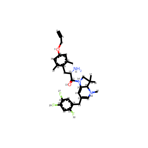 C#CCOc1cc(C)c(C[C@H](N)C(=O)N2CC(C)(C)C3C2=CC(Cc2cc(F)c(F)cc2F)=CN3C)c(C)c1